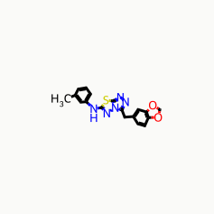 Cc1cccc(Nc2nn3c(Cc4ccc5c(c4)OCO5)nnc3s2)c1